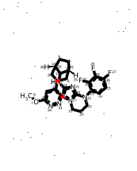 COc1cc(N2C[C@H]3CC[C@@H](C2)C3Nc2nc3n(n2)CCCN3c2ccc(F)c(F)c2F)cnn1